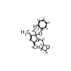 C=C1C=C(C)C(C)(Oc2ccccc2)N1C[C@@H]1CCO1